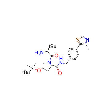 Cc1ncsc1-c1ccc(CNC(=O)C2CC(O[Si](C)(C)C(C)(C)C)CN2C(=O)[C@@H](N)C(C)(C)C)cc1